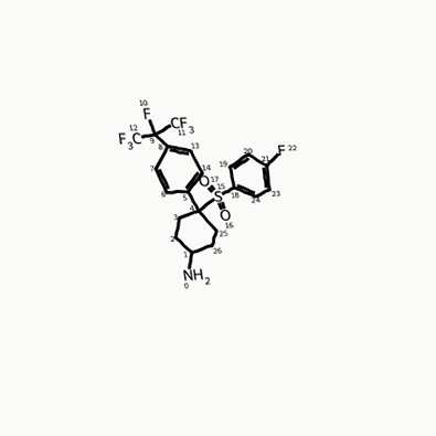 NC1CCC(c2ccc(C(F)(C(F)(F)F)C(F)(F)F)cc2)(S(=O)(=O)c2ccc(F)cc2)CC1